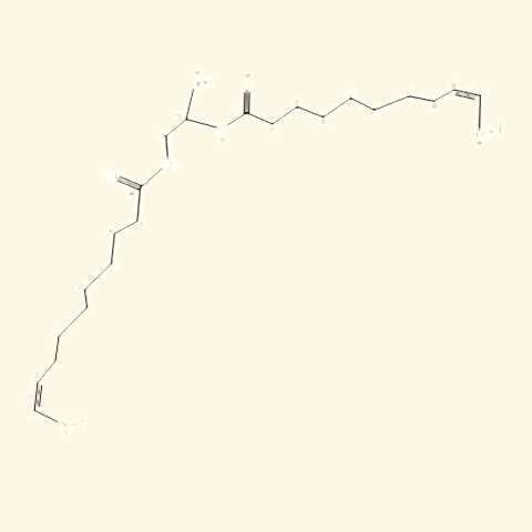 CCCCCCCC/C=C\CCCCCCCC(=O)OCC(CCCC)OC(=O)CCCCCCC/C=C\CCCCCCCC